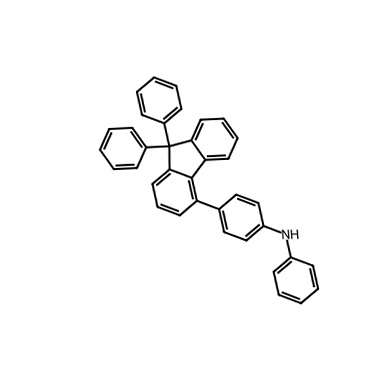 c1ccc(Nc2ccc(-c3cccc4c3-c3ccccc3C4(c3ccccc3)c3ccccc3)cc2)cc1